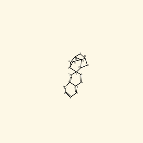 C1=COC2=NC3(C=CC2=C1)C1CC2CC(C1)CC3C2